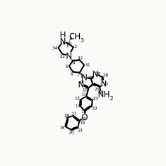 C[C@@H]1CN([C@H]2CC[C@H](n3nc(-c4ccc(Oc5ccccc5)cc4)c4c(N)ncnc43)CC2)CCN1